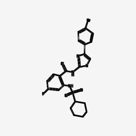 O=C(Nc1nc(-c2ccc(Br)cc2)cs1)c1ccc(F)cc1NS(=O)(=O)C1CCCCC1